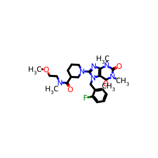 COCCN(C)C(=O)C1CCCN(c2nc3c(c(=O)n(C)c(=O)n3C)n2Cc2c(C)cccc2F)C1